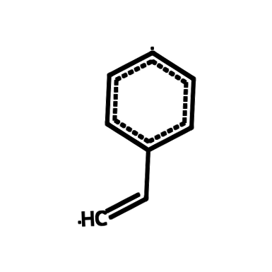 [CH]=Cc1cc[c]cc1